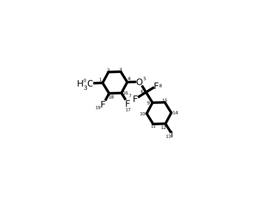 CC1CCC(OC(F)(F)C2CCC(I)CC2)C(F)C1F